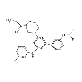 CCC(=O)N1CCCC(c2nc(Nc3cccc(F)c3)cc(-c3cccc(OC(F)F)c3)n2)C1